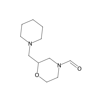 O=CN1CCOC(CN2CCCCC2)C1